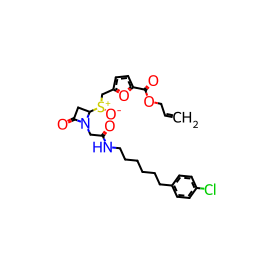 C=CCOC(=O)c1ccc(C[S+]([O-])C2CC(=O)N2CC(=O)NCCCCCCc2ccc(Cl)cc2)o1